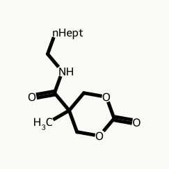 CCCCCCCCNC(=O)C1(C)COC(=O)OC1